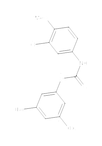 COc1ccc(NC(=O)Oc2cc(C(C)(C)C)cc(C(C)(C)C)c2)cc1Cl